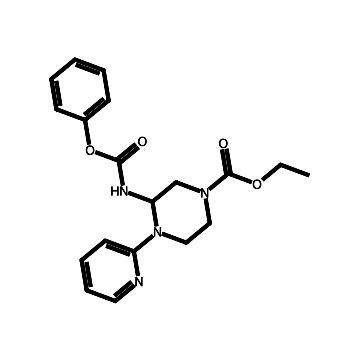 CCOC(=O)N1CCN(c2ccccn2)C(NC(=O)Oc2ccccc2)C1